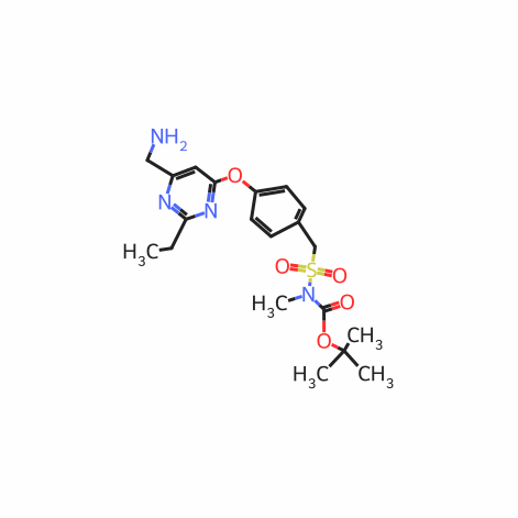 CCc1nc(CN)cc(Oc2ccc(CS(=O)(=O)N(C)C(=O)OC(C)(C)C)cc2)n1